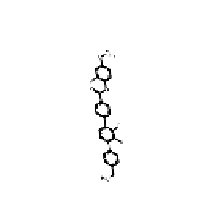 COc1ccc(OC(=O)c2ccc(-c3ccc(-c4ccc(CO)cc4)c(F)c3F)cc2)c(F)c1